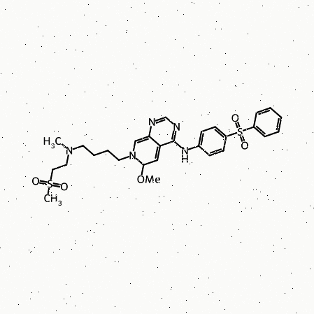 COC1C=c2c(Nc3ccc(S(=O)(=O)c4ccccc4)cc3)ncnc2=CN1CCCCN(C)CCS(C)(=O)=O